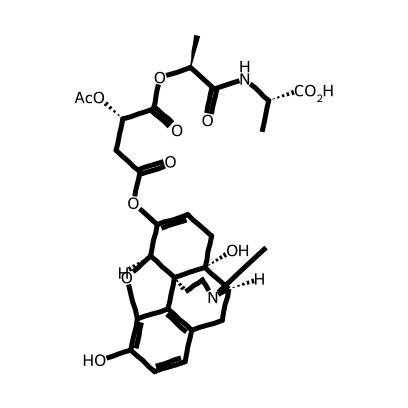 CC(=O)O[C@@H](CC(=O)OC1=CC[C@@]2(O)[C@H]3Cc4ccc(O)c5c4[C@@]2(CCN3C)[C@H]1O5)C(=O)O[C@@H](C)C(=O)N[C@@H](C)C(=O)O